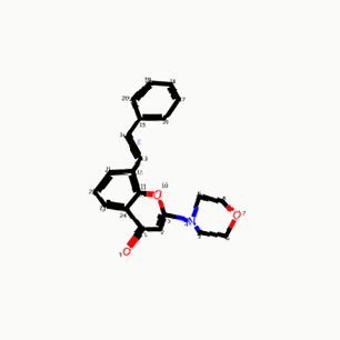 O=c1cc(N2CCOCC2)oc2c(/C=C/c3ccccc3)cccc12